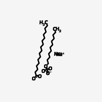 CCCCCCCCCCCCCCCCCC(=O)[O-].CCCCCCCCCCCCOS(=O)(=O)[O-].[Na+].[Na+]